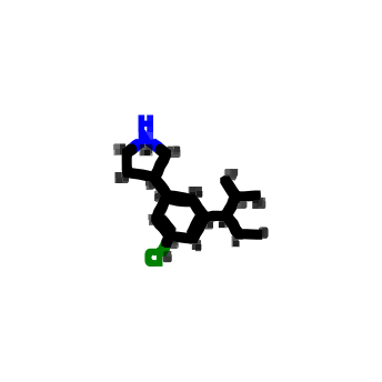 CCC(c1cc(Cl)cc(C2CCNC2)c1)C(C)C